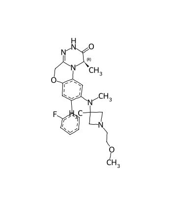 COCCN1CC(C)(N(C)c2cc3c(cc2-c2ccccc2F)OCC2=NNC(=O)[C@@H](C)N23)C1